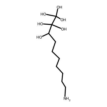 NCCCCCCCC(O)C(O)(O)C(O)(O)O